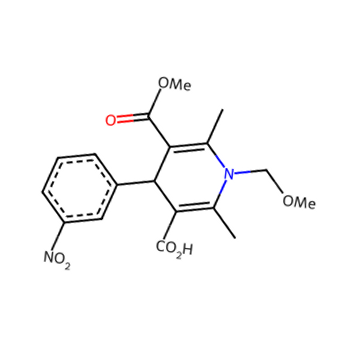 COCN1C(C)=C(C(=O)O)C(c2cccc([N+](=O)[O-])c2)C(C(=O)OC)=C1C